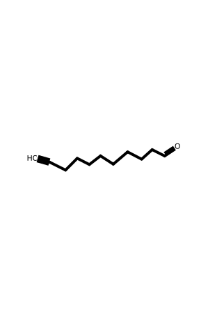 C#CCCCCCCCCC=O